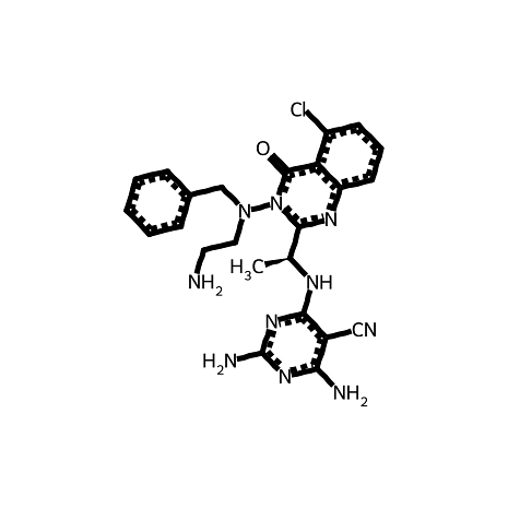 C[C@H](Nc1nc(N)nc(N)c1C#N)c1nc2cccc(Cl)c2c(=O)n1N(CCN)Cc1ccccc1